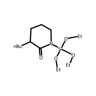 CCCCC1CCCN([Si](OCC)(OCC)OCC)C1=O